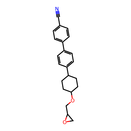 N#Cc1ccc(-c2ccc(C3CCC(OCC4CO4)CC3)cc2)cc1